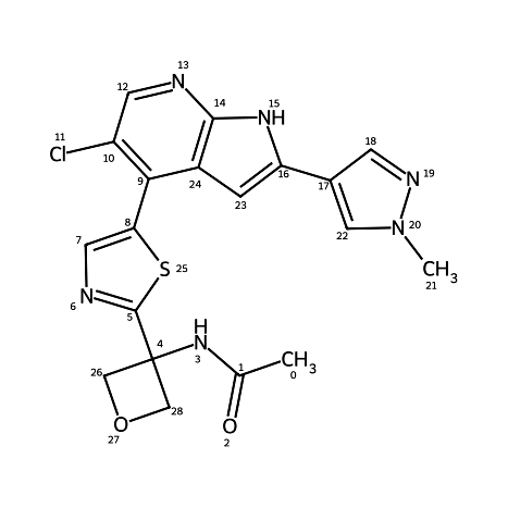 CC(=O)NC1(c2ncc(-c3c(Cl)cnc4[nH]c(-c5cnn(C)c5)cc34)s2)COC1